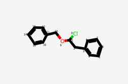 ClC(Cc1ccccc1)OCc1ccccc1